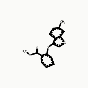 COC(=O)c1ccccc1Sc1csc2cc(C)ccc12